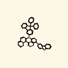 C1=CCC2C(=C1)C=CC(N(c1ccc(-c3ccc4sc5ccccc5c4c3)cc1)c1ccc3c(c1)-c1ccccc1C3(c1ccccc1)c1ccccc1)=C2C1=CCCC=C1